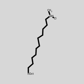 CCCCCCCCCCCCCCCCCCC[SiH](C)Cl